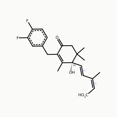 CC1=C(Cc2ccc(F)c(F)c2)C(=O)CC(C)(C)[C@@]1(O)/C=C/C(C)=C\C(=O)O